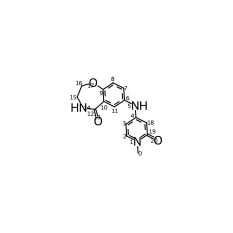 Cn1ccc(Nc2ccc3c(c2)C(=O)NCCO3)cc1=O